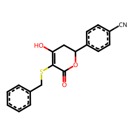 N#Cc1ccc(C2CC(O)=C(SCc3ccccc3)C(=O)O2)cc1